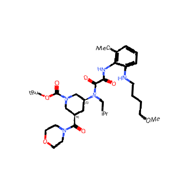 COCCCCNc1cccc(OC)c1NC(=O)C(=O)N(CC(C)C)[C@H]1C[C@@H](C(=O)N2CCOCC2)CN(C(=O)OC(C)(C)C)C1